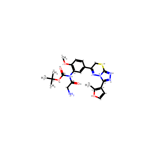 COc1ccc(C2=Nn3c(nnc3-c3ccoc3C)SC2)cc1N(C(=O)CN)C(=O)OC(C)(C)C